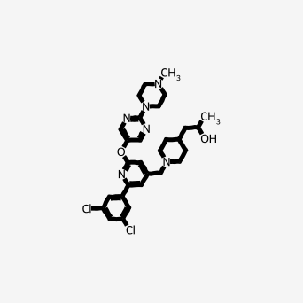 CC(O)CC1CCN(Cc2cc(Oc3cnc(N4CCN(C)CC4)nc3)nc(-c3cc(Cl)cc(Cl)c3)c2)CC1